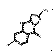 Cc1cc2[nH]c3cc(Cl)ncc3c(=O)n2n1